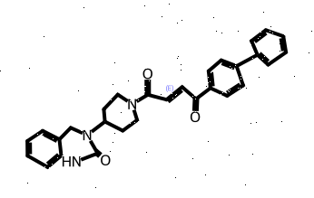 O=C(/C=C/C(=O)N1CCC(N2Cc3ccccc3NC2=O)CC1)c1ccc(-c2ccccc2)cc1